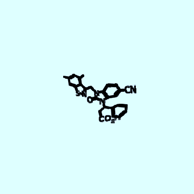 Cc1cc(C)c2c(Cn3c(=O)n([C@H](CC(=O)O)c4ccccc4)c4cc(C#N)ccc43)nsc2c1